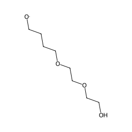 [O]CCCCOCCOCCO